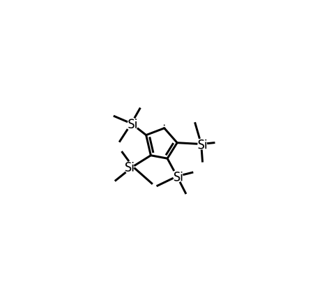 C[Si](C)(C)C1=C([Si](C)(C)C)C([Si](C)(C)C)=C([Si](C)(C)C)[CH]1